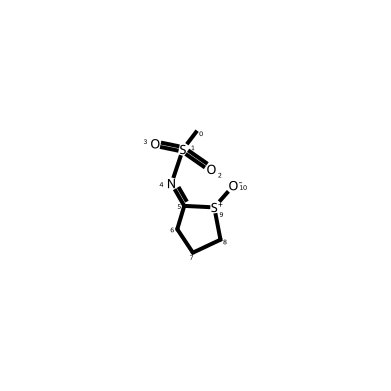 CS(=O)(=O)N=C1CCC[S+]1[O-]